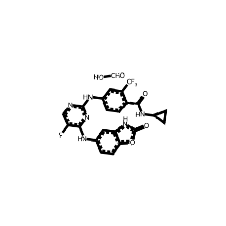 O=C(NC1CC1)c1ccc(Nc2ncc(F)c(Nc3ccc4oc(=O)[nH]c4c3)n2)cc1C(F)(F)F.O=CO